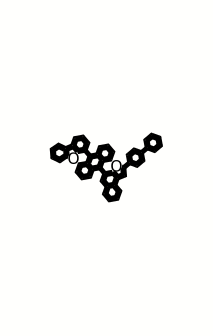 c1ccc(-c2ccc(-c3cc4c(o3)c(-c3c5ccccc5c(-c5cccc6c5oc5ccccc56)c5ccccc35)cc3ccccc34)cc2)cc1